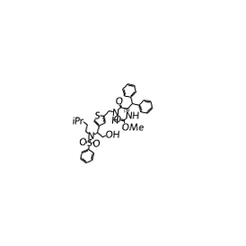 COC(=O)N[C@H](C(=O)NCc1cc(C(CO)N(CCC(C)C)S(=O)(=O)c2ccccc2)cs1)C(c1ccccc1)c1ccccc1